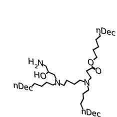 CCCCCCCCCCCCCCCOC(=O)CCN(CCCCCCCCCCCCCC)CCCCN(CCCCCCCCCCCCCC)CC(O)CN